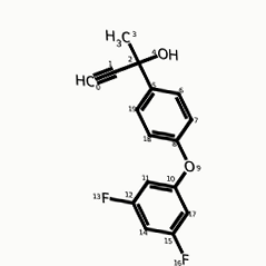 C#CC(C)(O)c1ccc(Oc2cc(F)cc(F)c2)cc1